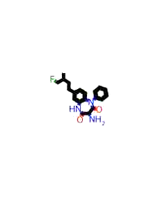 CC(CF)CCc1ccc2c(c1)NC(=O)C(N)C(=O)N2c1ccccc1